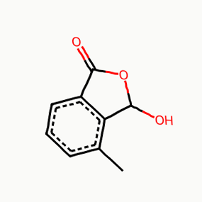 Cc1cccc2c1C(O)OC2=O